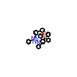 c1ccc(-c2cccc(-c3nc(-c4ccccc4)nc(-n4c5ccccc5c5ccc([Si]6(c7ccccc7)c7ccccc7Oc7ccccc76)cc54)n3)c2)cc1